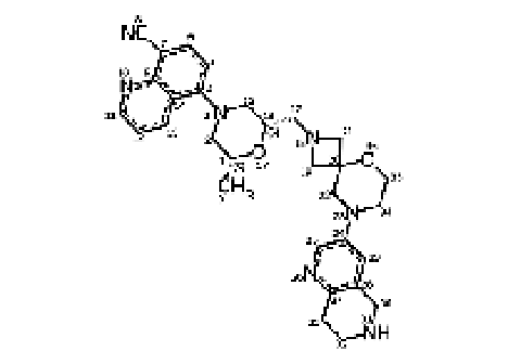 C[C@@H]1CN(c2ccc(C#N)c3ncccc23)C[C@H](CN2CC3(C2)CN(c2cnc4c(c2)CNCC4)CCO3)O1